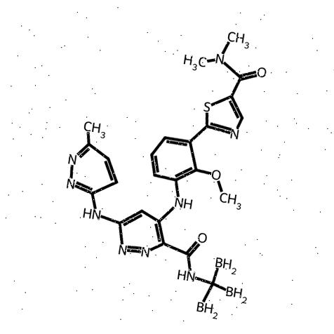 BC(B)(B)NC(=O)c1nnc(Nc2ccc(C)nn2)cc1Nc1cccc(-c2ncc(C(=O)N(C)C)s2)c1OC